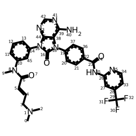 CN(C)CC=CC(=O)N(C)c1cccc(-n2c(=O)n(-c3ccc(C(=O)Nc4cc(C(F)(F)F)ccn4)cc3)c3c(N)ncnc32)c1